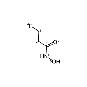 O=C(CCF)NO